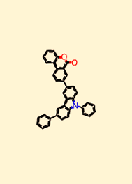 O=c1oc2ccccc2c2ccc(-c3ccc4c(c3)c3cc(-c5ccccc5)ccc3n4-c3ccccc3)cc12